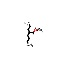 CCCCC(CCC)CO[SiH3]